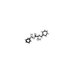 O=C(ONc1ccccc1)[C@@H](O)CCC1CCCCC1